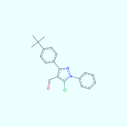 CC(C)(C)c1ccc(-c2nn(-c3ccccc3)c(Cl)c2C=O)cc1